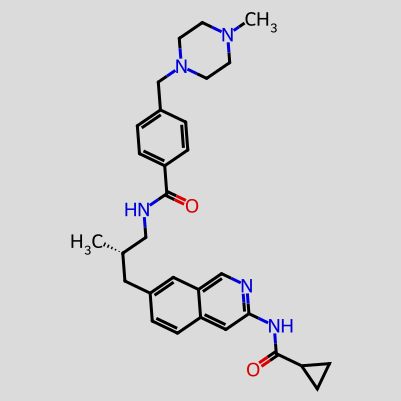 C[C@H](CNC(=O)c1ccc(CN2CCN(C)CC2)cc1)Cc1ccc2cc(NC(=O)C3CC3)ncc2c1